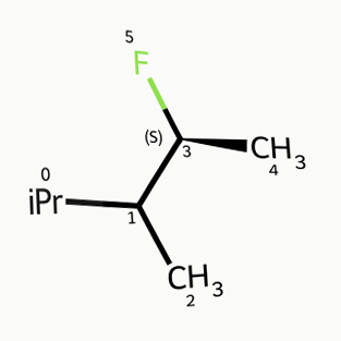 CC(C)C(C)[C@H](C)F